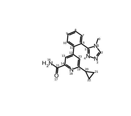 Cn1cnnc1-c1ccccc1-c1cc(C(N)=O)nc(C2CC2)c1